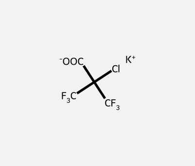 O=C([O-])C(Cl)(C(F)(F)F)C(F)(F)F.[K+]